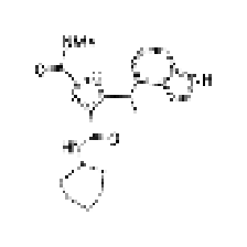 CNC(=O)c1cc(C(=O)NC2CCCCC2)c(C(C)c2cccc3[nH]ccc23)o1